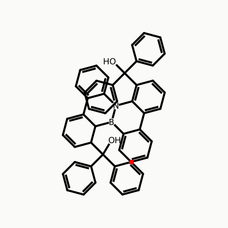 OC(c1ccccc1)(c1ccccc1)c1cccc2c1N1B(c3ccccc3-2)C2C(=CC=CC2C(O)(c2ccccc2)c2ccccc2)c2ccccc21